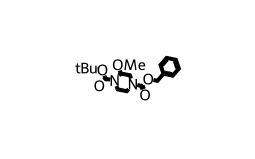 COC1CN(C(=O)OCc2ccccc2)CCN1C(=O)OC(C)(C)C